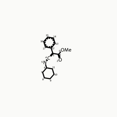 COC(=O)C(=C=NC1CCCCC1)c1ccccc1